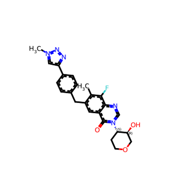 Cc1c(Cc2ccc(-c3cn(C)nn3)cc2)cc2c(=O)n([C@H]3CCOC[C@@H]3O)cnc2c1F